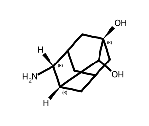 N[C@@H]1C2CC3C[C@H]1C(O)[C@@](O)(C3)C2